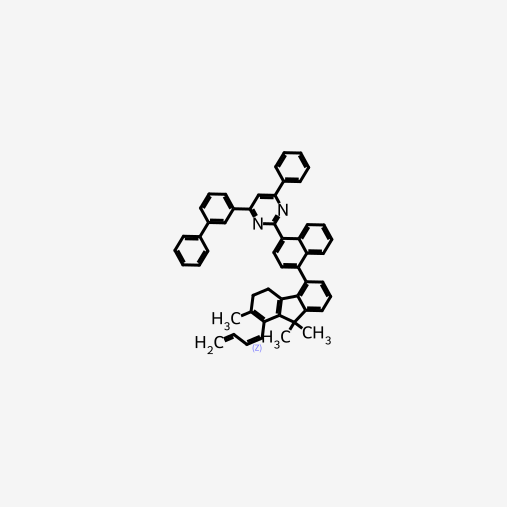 C=C/C=C\C1=C(C)CCC2=C1C(C)(C)c1cccc(-c3ccc(-c4nc(-c5ccccc5)cc(-c5cccc(-c6ccccc6)c5)n4)c4ccccc34)c12